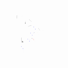 Cc1cn(-c2ccc(C(F)(F)F)cc2)c(=NC(=O)N2CC3NC[C@@H]3C2)s1